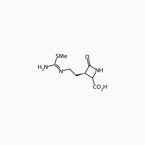 CS/C(N)=N\CC[C@H]1C(=O)NC1C(=O)O